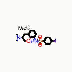 COc1ccc(NS(=O)(=O)c2ccc(I)cc2)c2c1C[C@@H](N(C)C)CO2